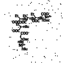 CCCCC(CC)C(=O)[O-].CCCCC(CC)C(=O)[O-].CCCCC(CC)C(=O)[O-].CCCCC(CC)C(=O)[O-].CCCCCCCCCCCC(=O)[O-].CCCCCCCCCCCC(=O)[O-].CCC[CH2][Sn+2][CH2]CCC.[Sn+4]